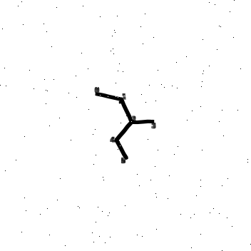 C[C]C(C)CC